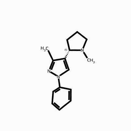 Cc1nn(-c2ccccc2)cc1[C@@H]1CCCN1C